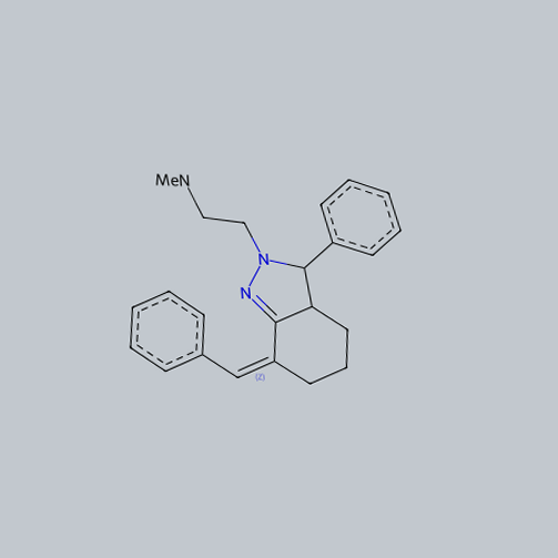 CNCCN1N=C2/C(=C\c3ccccc3)CCCC2C1c1ccccc1